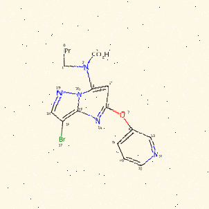 CC(C)CN(C(=O)O)c1cc(Oc2cccnc2)nc2c(Br)cnn12